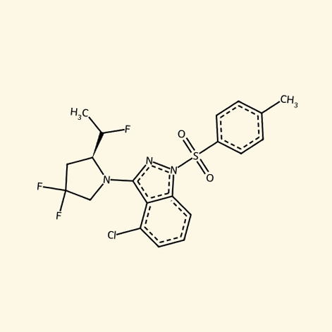 Cc1ccc(S(=O)(=O)n2nc(N3CC(F)(F)C[C@H]3C(C)F)c3c(Cl)cccc32)cc1